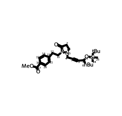 CCCCC(C#CCN1CCC(=O)N1CCc1ccc(C(=O)OC)cc1)O[Si](C)(C)C(C)(C)C